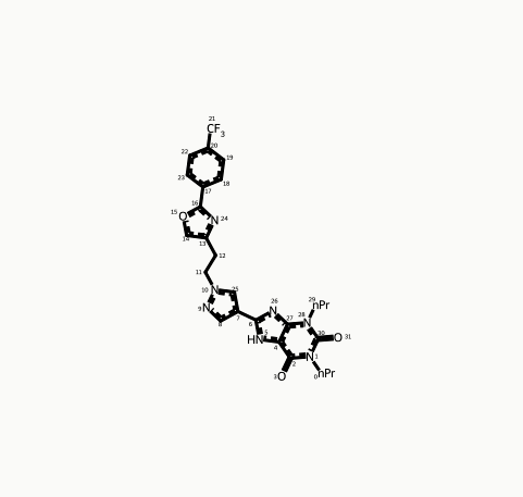 CCCn1c(=O)c2[nH]c(-c3cnn(CCc4coc(-c5ccc(C(F)(F)F)cc5)n4)c3)nc2n(CCC)c1=O